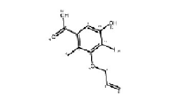 C=CCOc1c(C)c(C(=O)O)cc(O)c1I